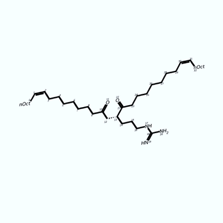 CCCCCCCC/C=C\CCCCCCCC(=O)C[C@@H](CCCNC(=N)N)C(=O)CCCCCCC/C=C\CCCCCCCC